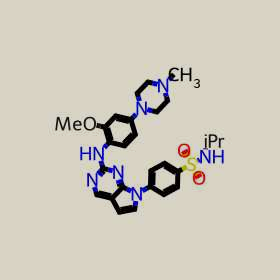 COc1cc(N2CCN(C)CC2)ccc1Nc1ncc2ccn(-c3ccc(S(=O)(=O)NC(C)C)cc3)c2n1